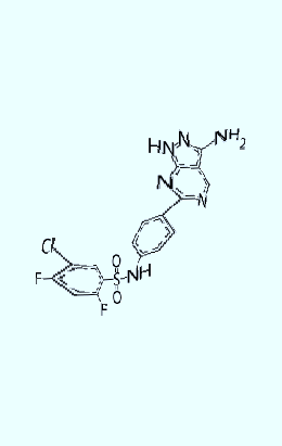 Nc1n[nH]c2nc(-c3ccc(NS(=O)(=O)c4cc(Cl)c(F)cc4F)cc3)ncc12